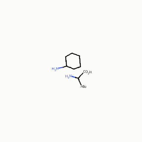 CCCCC(N)C(=O)O.NC1CCCCC1